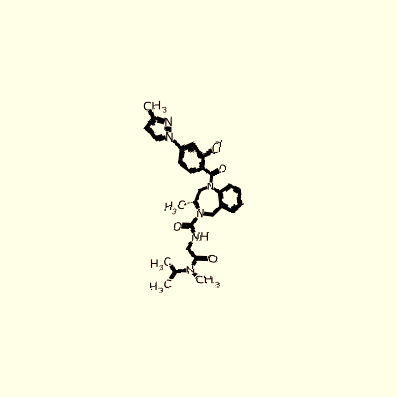 Cc1ccn(-c2ccc(C(=O)N3C[C@@H](C)N(C(=O)NCC(=O)N(C)C(C)C)Cc4ccccc43)c(Cl)c2)n1